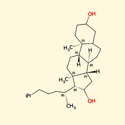 CC(C)CCC[C@@H](C)[C@H]1C(O)C[C@H]2[C@@H]3CCC4CC(O)CC[C@]4(C)[C@H]3CC[C@]12C